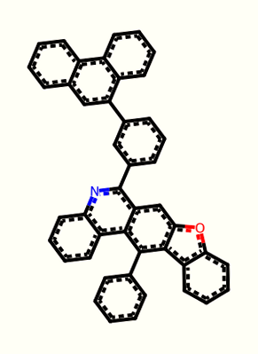 c1ccc(-c2c3c(cc4c(-c5cccc(-c6cc7ccccc7c7ccccc67)c5)nc5ccccc5c24)oc2ccccc23)cc1